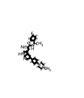 C[C@@H](NC(=O)/C(C#N)=C/c1c[nH]c2ncc(-c3ccc(N4CCN(C)CC4)cc3)cc12)c1ccc(F)cc1